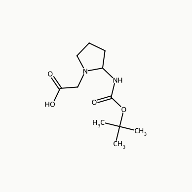 CC(C)(C)OC(=O)NC1CCCN1CC(=O)O